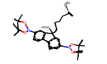 CCCCCCCCCC1(CCCC[C@H](C)CCCC)c2cc(N3OC(C)(C)C(C)(C)O3)ccc2-c2ccc(N3OC(C)(C)C(C)(C)O3)cc21